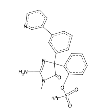 CCCS(=O)(=O)Oc1ccccc1C1(c2cccc(-c3cccnc3)c2)N=C(N)N(C)C1=O